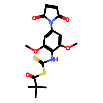 COc1cc(N2C(=O)C=CC2=O)cc(OC)c1NC(=S)SC(=O)C(C)(C)C